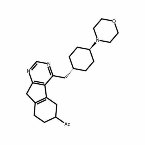 CC(=O)C1CCC2=C(C1)c1c(ncnc1C[C@H]1CC[C@H](N3CCOCC3)CC1)C2